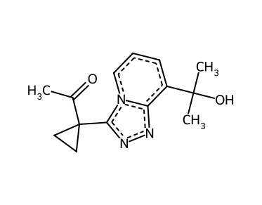 CC(=O)C1(c2nnc3c(C(C)(C)O)cccn23)CC1